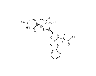 CC(C)(NP(=O)(OC[C@H]1O[C@@H](n2ccc(=O)[nH]c2=O)[C@](Cl)(Br)[C@@H]1O)Oc1ccccc1)C(=O)O